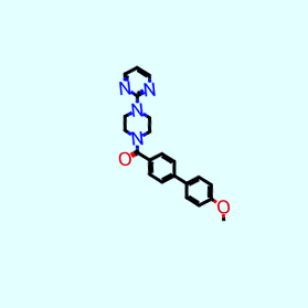 COc1ccc(-c2ccc(C(=O)N3CCN(c4ncccn4)CC3)cc2)cc1